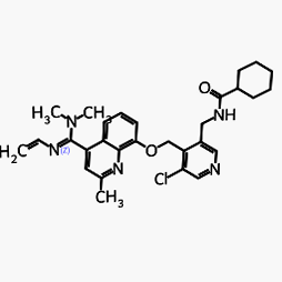 C=C/N=C(/c1cc(C)nc2c(OCc3c(Cl)cncc3CNC(=O)C3CCCCC3)cccc12)N(C)C